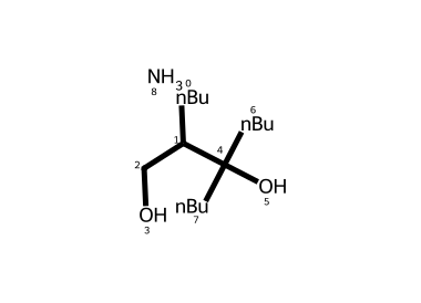 CCCCC(CO)C(O)(CCCC)CCCC.N